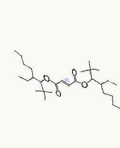 CCCCC(CC)C(OC(=O)/C=C/C(=O)OC(C(CC)CCCC)C(C)(C)C)C(C)(C)C